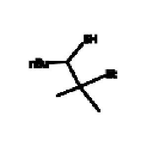 CCCCC(S)C(C)(C)CC